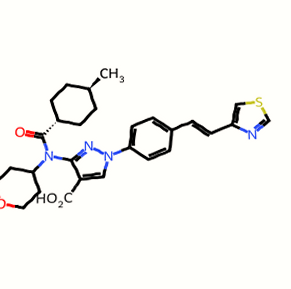 C[C@H]1CC[C@H](C(=O)N(c2nn(-c3ccc(C=Cc4cscn4)cc3)cc2C(=O)O)C2CCOCC2)CC1